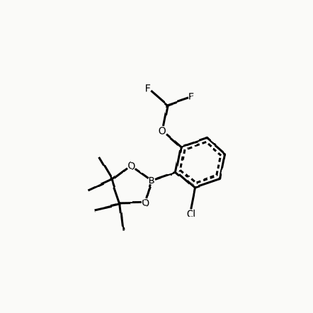 CC1(C)OB(c2c(Cl)cccc2OC(F)F)OC1(C)C